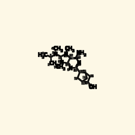 CC(C)N(C)C1N(C)c2nc(C3CC4CC3CC4O)nc(N)c2N1C